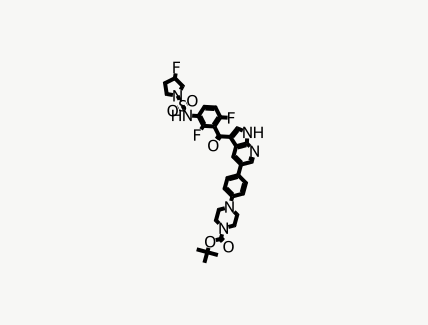 CC(C)(C)OC(=O)N1CCN(c2ccc(-c3cnc4[nH]cc(C(=O)c5c(F)ccc(NS(=O)(=O)N6CCC(F)C6)c5F)c4c3)cc2)CC1